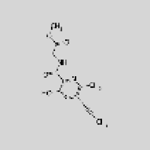 CC#Cc1cc(O)c(C(=O)NCC(=O)OC)nc1C